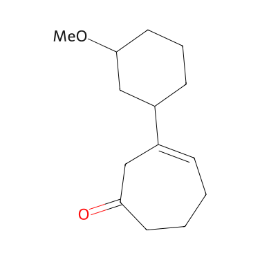 COC1CCCC(C2=CCCCC(=O)C2)C1